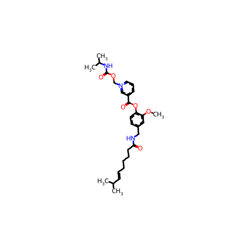 COc1cc(CNC(=O)CCCCC=CC(C)C)ccc1OC(=O)c1ccc[n+](COC(=O)NC(C)C)c1